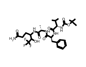 CC(C)[C@H](NC(=O)OC(C)(C)C)C(=O)N[C@@H](Cc1ccccc1)C(=O)N[C@@H](C)C(=O)NC(CCC(N)=O)C(O)C(F)(F)F